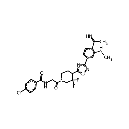 CNc1cc(-c2noc(C3CCN(C(=O)CNC(=O)c4ccc(Cl)cc4)CC3(F)F)n2)ccc1C(C)=N